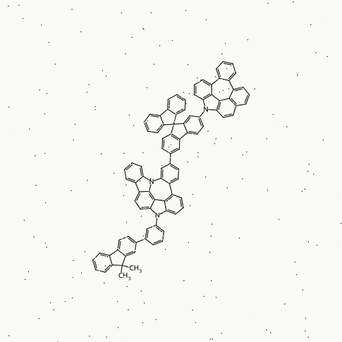 CC1(C)c2ccccc2-c2ccc(-c3cccc(-n4c5cccc6c7ccc(-c8ccc9c(c8)-c8ccc(-n%10c%11cccc%12c%11c%11c%13c(cccc%13ccc%11%10)-c%10ccccc%10-%12)cc8C98c9ccccc9-c9ccccc98)cc7n7c8ccccc8c8ccc4c(c65)c87)c3)cc21